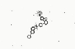 CC1(C)OB(c2ccc3c(c2)oc2cccc(-c4ccc(-c5nc6ccc7cc(-c8ccccc8)ccc7c6s5)cc4)c23)OC1(C)C